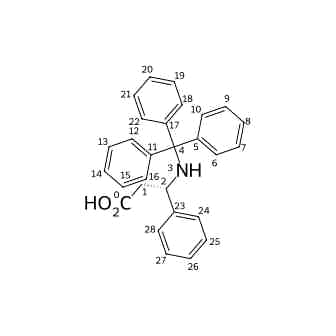 O=C(O)C[C@H](NC(c1ccccc1)(c1ccccc1)c1ccccc1)c1ccccc1